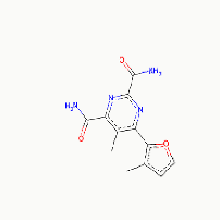 Cc1ccoc1-c1nc(C(N)=O)nc(C(N)=O)c1C